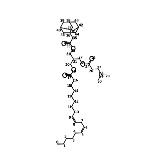 CCCCC/C=C\C/C=C\CCCCCCCC(=O)OCC(COC(=O)CCN(C)C)COC(=O)CC12CC3CC(CC(C3)C1)C2